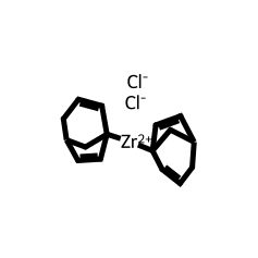 C1=C[C]2([Zr+2][C]34C=CCC(C=C3)C4)C=CC(C1)C2.[Cl-].[Cl-]